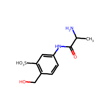 CC(N)C(=O)Nc1ccc(CO)c(S(=O)(=O)O)c1